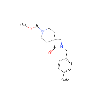 COc1ccc(CN2CC3(CCN(C(=O)OC(C)(C)C)CC3)C2=O)cc1